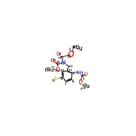 CC(C)(C)OC(=O)Nc1ccc(F)cc1CN(C(=O)OC(C)(C)C)C(=O)OC(C)(C)C